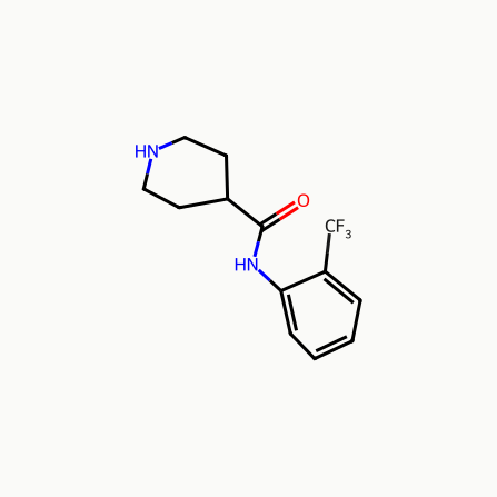 O=C(Nc1ccccc1C(F)(F)F)C1CCNCC1